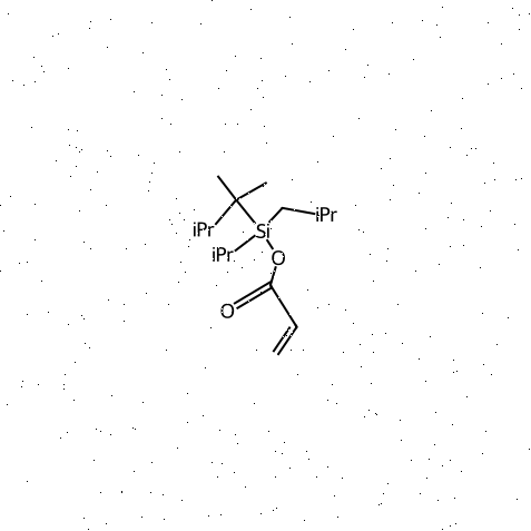 C=CC(=O)O[Si](CC(C)C)(C(C)C)C(C)(C)C(C)C